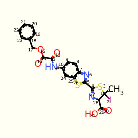 CC1(I)SC(c2nc3ccc(NC(=O)C(=O)OCc4ccccc4)cc3s2)=NC1C(=O)O